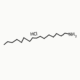 CCCCCCCCCCCCCCCCN.Cl